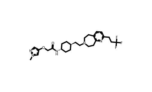 Cn1cc(OCC(=O)N[C@H]2CC[C@H](CCN3CCc4ccc(CCC(F)(F)F)nc4CC3)CC2)cn1